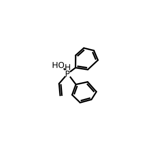 C=C[PH](O)(c1ccccc1)c1ccccc1